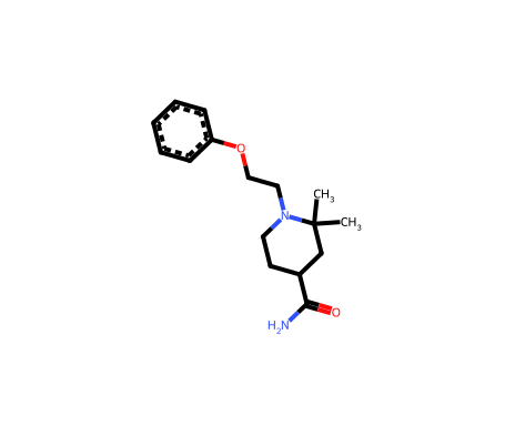 CC1(C)CC(C(N)=O)CCN1CCOc1ccccc1